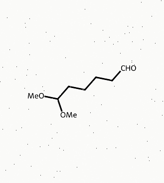 COC(CCCCC=O)OC